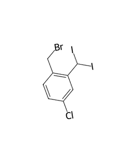 Clc1ccc(CBr)c(C(I)I)c1